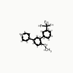 COc1ccc(-c2ccncc2)cc1-c1cccc(C(F)(F)F)c1